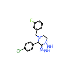 Fc1cccc(CN2CCN3NNN=C3C2c2ccc(Cl)cc2)c1